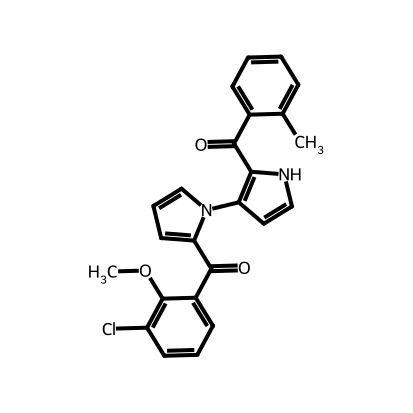 COc1c(Cl)cccc1C(=O)c1cccn1-c1cc[nH]c1C(=O)c1ccccc1C